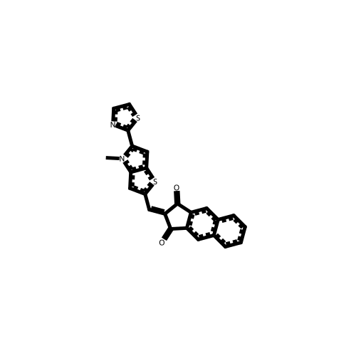 Cn1c(-c2nccs2)cc2sc(C=C3C(=O)c4cc5ccccc5cc4C3=O)cc21